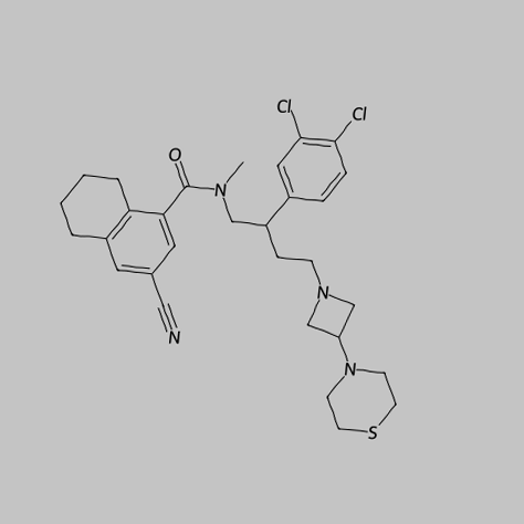 CN(CC(CCN1CC(N2CCSCC2)C1)c1ccc(Cl)c(Cl)c1)C(=O)c1cc(C#N)cc2c1CCCC2